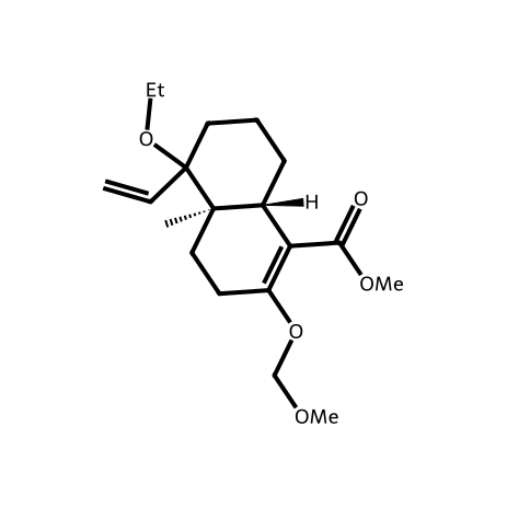 C=CC1(OCC)CCC[C@@H]2C(C(=O)OC)=C(OCOC)CC[C@]21C